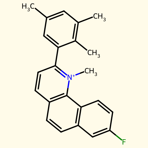 Cc1cc(C)c(C)c(-c2ccc3ccc4cc(F)ccc4c3[n+]2C)c1